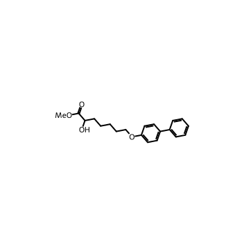 COC(=O)C(O)CCCCCOc1ccc(-c2ccccc2)cc1